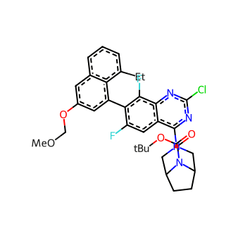 CCc1cccc2cc(OCOC)cc(-c3c(F)cc4c(N5CC6CCC(C5)N6C(=O)OC(C)(C)C)nc(Cl)nc4c3F)c12